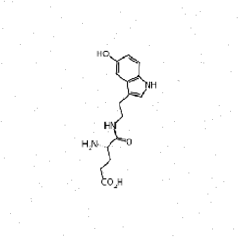 N[C@@H](CCC(=O)O)C(=O)NCCc1c[nH]c2ccc(O)cc12